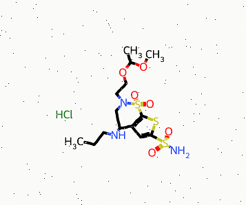 CCCNC1CN(CCOC(C)OC)S(=O)(=O)c2sc(S(N)(=O)=O)cc21.Cl